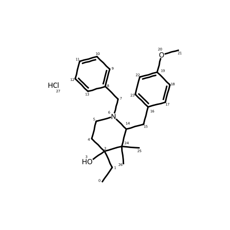 CCC1(O)CCN(Cc2ccccc2)C(Cc2ccc(OC)cc2)C1(C)C.Cl